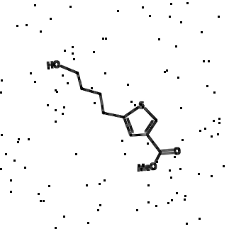 COC(=O)c1csc(CCCCO)c1